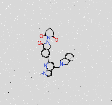 Cn1ccc2c(CN3Cc4ccccc4C3)cc(-c3ccc4c(c3)CN(N3C(=O)CCCC3=O)C4=O)nc21